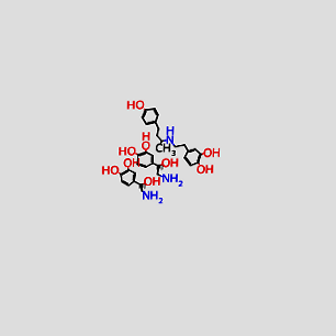 CC(CCc1ccc(O)cc1)NCCc1ccc(O)c(O)c1.NC[C@H](O)c1ccc(O)c(O)c1.NC[C@H](O)c1ccc(O)c(O)c1